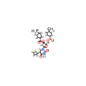 Cc1ccc(C(=O)OC[C@H]2O[C@H](n3cc(-c4cccs4)c(=O)[nH]c3=O)C[C@@H]2OC(=O)c2ccc(C)cc2)cc1